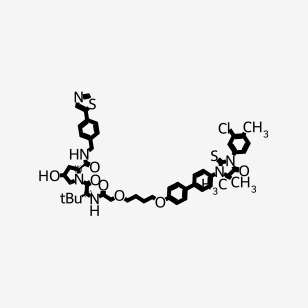 Cc1ccc(N2C(=O)C(C)(C)N(c3ccc(-c4ccc(OCCCCOCC(=O)N[C@H](C(=O)N5CC(O)C[C@H]5C(=O)NCc5ccc(-c6cncs6)cc5)C(C)(C)C)cc4)cc3)C2=S)cc1Cl